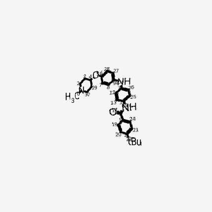 CN1CCC(Oc2ccc(Nc3ccc(NC(=O)c4ccc(C(C)(C)C)cc4)cc3)cc2)CC1